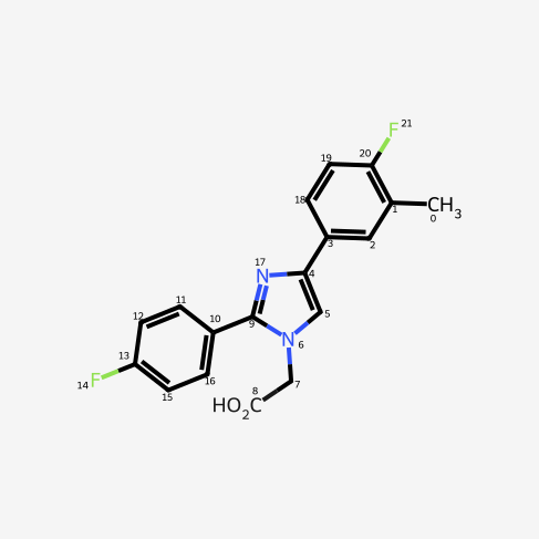 Cc1cc(-c2cn(CC(=O)O)c(-c3ccc(F)cc3)n2)ccc1F